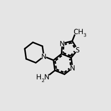 Cc1nc2c(N3CCCCC3)c(N)cnc2s1